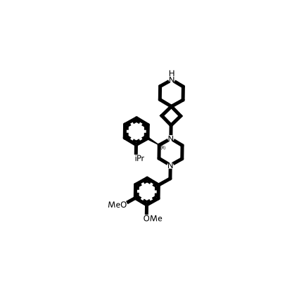 COc1ccc(CN2CCN(C3CC4(CCNCC4)C3)[C@H](c3ccccc3C(C)C)C2)cc1OC